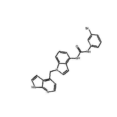 O=C(Nc1cccc(Br)c1)Nc1cccc2c1ccn2Cc1ccnc2[nH]ccc12